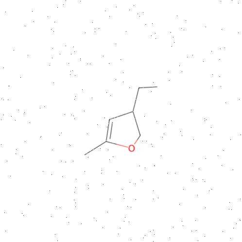 CCC1C=C(C)OC1